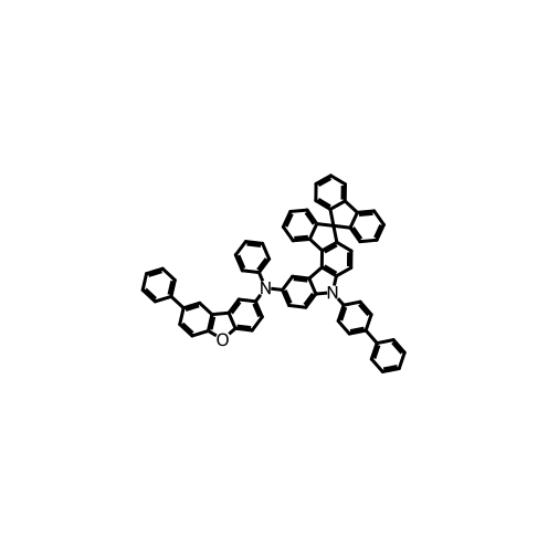 c1ccc(-c2ccc(-n3c4ccc(N(c5ccccc5)c5ccc6oc7ccc(-c8ccccc8)cc7c6c5)cc4c4c5c(ccc43)C3(c4ccccc4-c4ccccc43)c3ccccc3-5)cc2)cc1